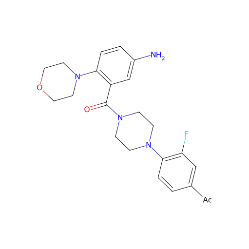 CC(=O)c1ccc(N2CCN(C(=O)c3cc(N)ccc3N3CCOCC3)CC2)c(F)c1